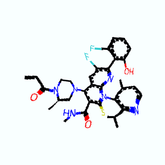 C=CC(=O)N1CCN(c2c(C(=O)NC)c(=S)n(-c3c(C)ccnc3C(C)C)c3nc(-c4c(O)cccc4F)c(F)cc23)C[C@H]1C